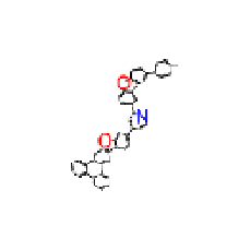 Cc1ccc(-c2ccc3oc4ccc(-c5cc(-c6ccc7c(c6)oc6cc8c9ccccc9c9ccccc9c8cc67)ccn5)cc4c3c2)cc1